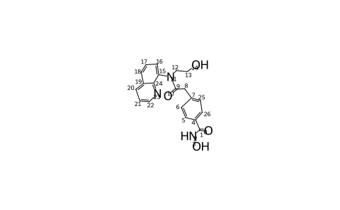 O=C(NO)c1ccc(CC(=O)N(CCO)c2cccc3cccnc23)cc1